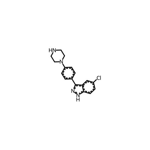 Clc1ccc2[nH]nc(-c3ccc(N4CCNCC4)cc3)c2c1